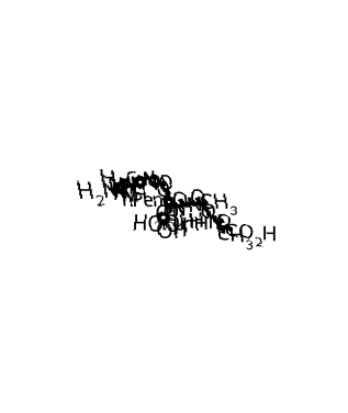 CCCCCNc1nc(N)nc2ccn(Cc3ccc(CN4CCN(C(=O)OCc5ccc(O[C@@H]6OC[C@@H](O)[C@H](O)[C@H]6O)c(NC(=O)CCNC(=O)C(C)COCCNC(=O)CC(C)CC(=O)O)c5)CC4)cc3C)c12